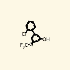 Oc1cc(OC(F)(F)F)cc(-c2ccccc2Cl)c1